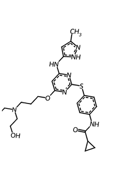 CCN(CCO)CCCOc1cc(Nc2cc(C)n[nH]2)nc(Sc2ccc(NC(=O)C3CC3)cc2)n1